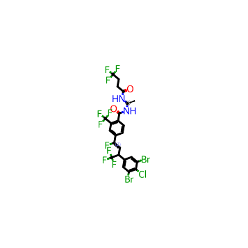 C[C@H](NC(=O)CCC(F)(F)F)NC(=O)c1ccc(/C(F)=C/C(c2cc(Br)c(Cl)c(Br)c2)C(F)(F)F)cc1C(F)(F)F